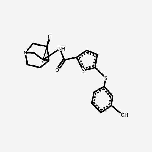 O=C(N[C@H]1CN2CCC1CC2)c1ccc(Sc2cccc(O)c2)s1